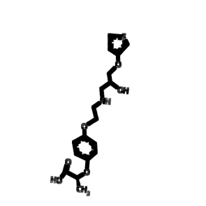 C[C@H](Oc1ccc(OCCNCC(O)COc2ccsc2)cc1)C(=O)O